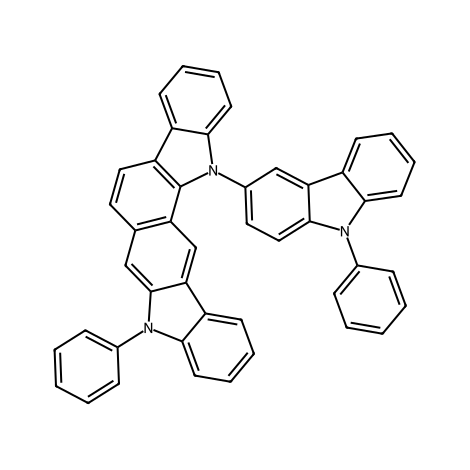 c1ccc(-n2c3ccccc3c3cc(-n4c5ccccc5c5ccc6cc7c(cc6c54)c4ccccc4n7-c4ccccc4)ccc32)cc1